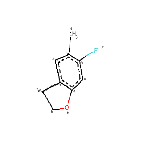 Cc1cc2c(cc1F)OCC2